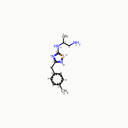 CCCC(CN)Nc1nc(Cc2ccc(C)cc2)ns1